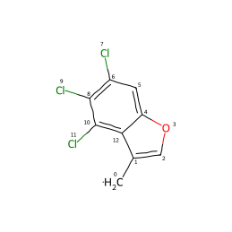 [CH2]c1coc2cc(Cl)c(Cl)c(Cl)c12